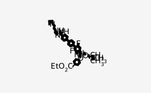 CCOC(=O)C[C@H]1CC[C@H](Oc2nc3c(F)c(-c4ccc(-c5ccc(C(=N)/N=C\NCCN6CCC6)cc5)cc4)c(F)cc3n2COCC[Si](C)(C)C)CC1